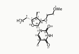 COCCO[C@@H]1[C@H](C)[C@@H](CN)O[C@H]1n1cc(C)c(=O)[nH]c1=O